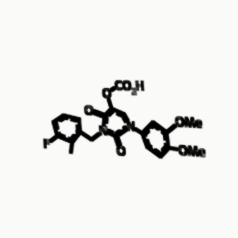 COc1ccc(-n2cc(OC(=O)O)c(=O)n(Cc3cccc(F)c3C)c2=O)cc1OC